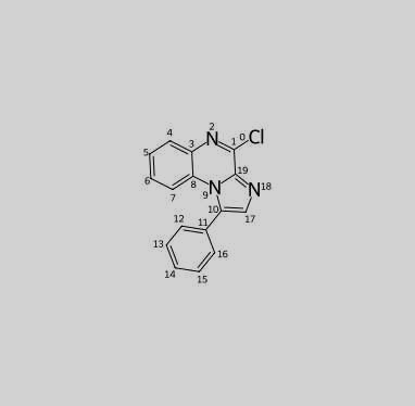 Clc1nc2ccccc2n2c(-c3ccccc3)cnc12